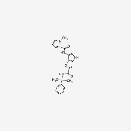 Cn1cccc1C(=O)Nc1n[nH]c2cc(C(=O)NC(C)(C)c3ccccc3)oc12